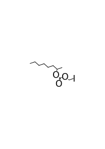 CCCCCCC(C)OC(=O)OCI